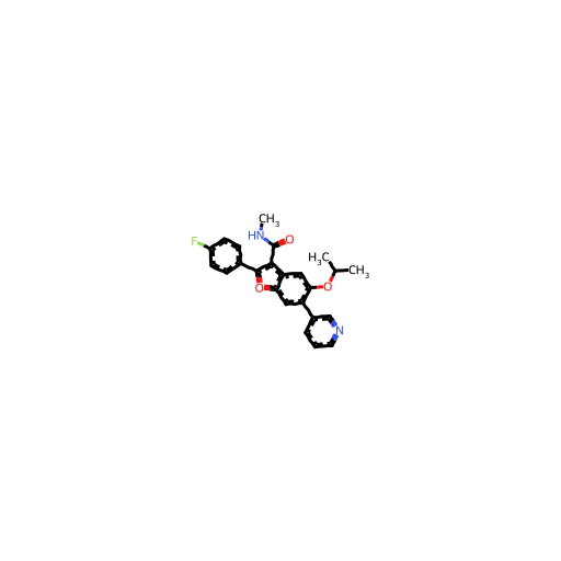 CNC(=O)c1c(-c2ccc(F)cc2)oc2cc(-c3cccnc3)c(OC(C)C)cc12